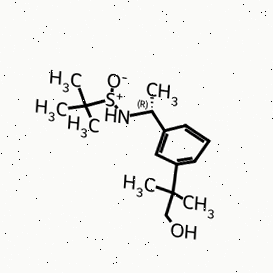 C[C@@H](N[S+]([O-])C(C)(C)C)c1cccc(C(C)(C)CO)c1